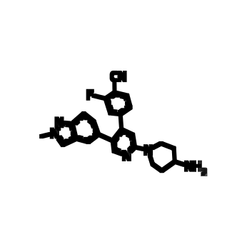 Cn1cc2cc(-c3cnc(N4CCC(N)CC4)cc3-c3ccc(C#N)c(F)c3)ccc2n1